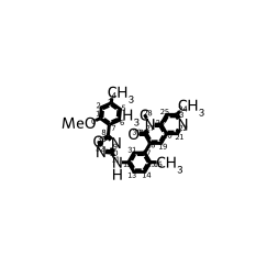 COc1cc(C)ccc1-c1nc(Nc2ccc(C)c(-c3cc4cnc(C)cc4n(C)c3=O)c2)no1